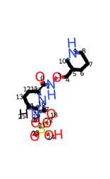 O=C(NOCC1CCCNC1)[C@@H]1CC[C@@H]2CN1C(=O)N2OS(=O)(=O)O